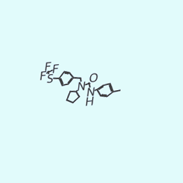 Cc1ccc(NC(=O)N(Cc2ccc(SC(F)(F)F)cc2)C2CCCC2)cc1